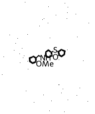 COc1ccccc1CNc1ccc2c(c1)Oc1ccccc1S2